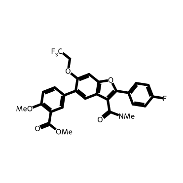 CNC(=O)c1c(-c2ccc(F)cc2)oc2cc(OCC(F)(F)F)c(-c3ccc(OC)c(C(=O)OC)c3)cc12